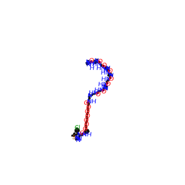 Cc1sc2c(c1C)C(c1ccc(Cl)cc1)=N[C@@H](CC(=O)Nc1cccc(OCCOCCOCCOCCOCCOCCC(=O)NCCCN(C)CCCNC(=O)CCNC(=O)c3nc(NC(=O)CCNC(=O)c4cc(NC(=O)c5nc(NC(=O)CCNC(=O)c6cc(NC(=O)c7nccn7C)cn6C)cn5C)cn4C)cn3C)c1)c1nnc(C)n1-2